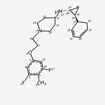 Cc1c(F)cc(OCCN2CCC(N[C@@H]3C[C@H]3C3C=CC=CC3)CC2)cc1F